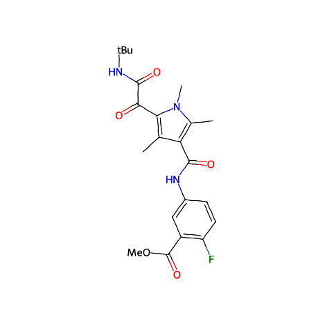 COC(=O)c1cc(NC(=O)c2c(C)c(C(=O)C(=O)NC(C)(C)C)n(C)c2C)ccc1F